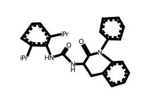 CC(C)c1cccc(C(C)C)c1NC(=O)NC1Cc2ccccc2N(c2ccccc2)C1=O